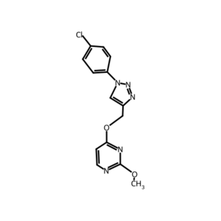 COc1nccc(OCc2cn(-c3ccc(Cl)cc3)nn2)n1